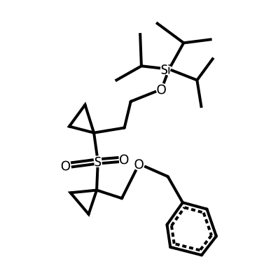 CC(C)[Si](OCCC1(S(=O)(=O)C2(COCc3ccccc3)CC2)CC1)(C(C)C)C(C)C